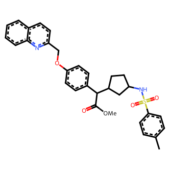 COC(=O)C(c1ccc(OCc2ccc3ccccc3n2)cc1)C1CCC(NS(=O)(=O)c2ccc(C)cc2)C1